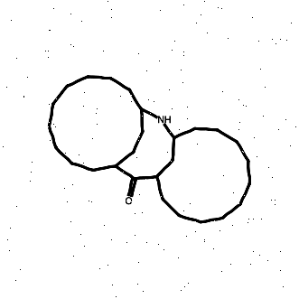 O=C1C2CCCCCCCCCC(CC2)NC2CCCCCCCCCCC1C2